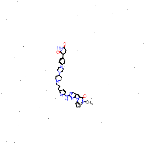 CN(C)C(=O)c1cc2cnc(Nc3ccc(CCCN4CCC(N5CCN(c6ccc(C7CCC(=O)NC7=O)cc6)CC5)CC4)cn3)nc2n1C1CCCC1